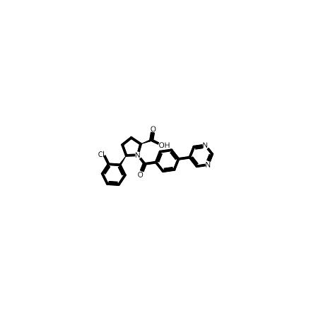 O=C(O)[C@@H]1CC[C@H](c2ccccc2Cl)N1C(=O)c1ccc(-c2cncnc2)cc1